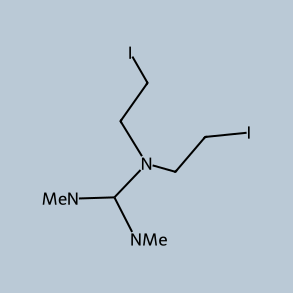 CNC(NC)N(CCI)CCI